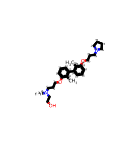 CCCN(CCO)CCCOc1cccc(-c2cccc(OCCCN3CCCC3)c2C)c1C